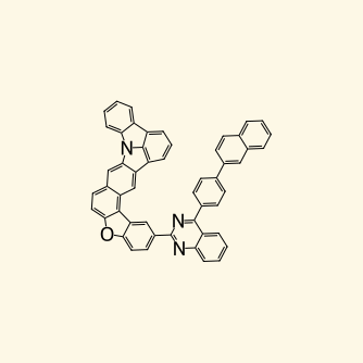 c1ccc2cc(-c3ccc(-c4nc(-c5ccc6oc7ccc8cc9c(cc8c7c6c5)c5cccc6c7ccccc7n9c65)nc5ccccc45)cc3)ccc2c1